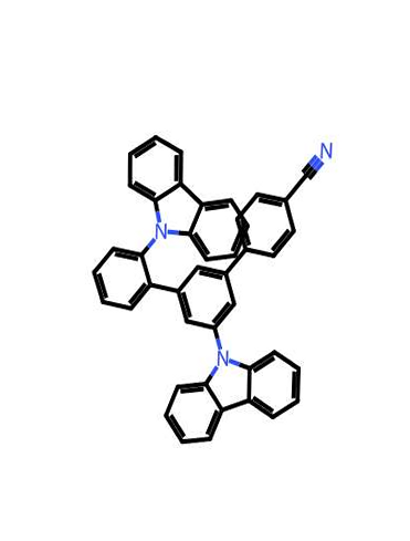 N#Cc1ccc(-c2cc(-c3ccccc3-n3c4ccccc4c4ccccc43)cc(-n3c4ccccc4c4ccccc43)c2)cc1